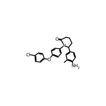 Cc1cc(C2CCCC(=O)N2c2ccc(Oc3ccc(Cl)cc3)cc2)ccc1N